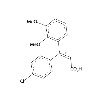 COc1cccc(/C(=C/C(=O)O)c2ccc(Cl)cc2)c1OC